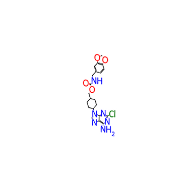 Nc1nc(Cl)nc2c1ncn2C1CCC(COC(=O)NCc2ccc3c(c2)OCO3)CC1